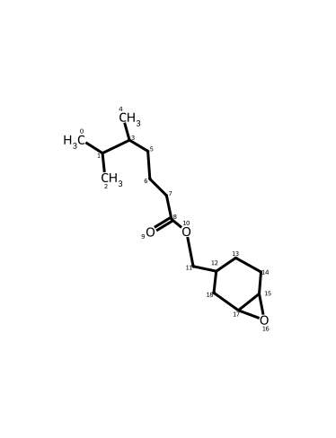 CC(C)C(C)CCCC(=O)OCC1CCC2OC2C1